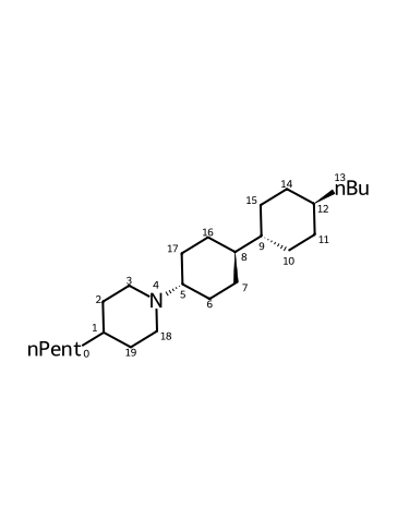 CCCCCC1CCN([C@H]2CC[C@H]([C@H]3CC[C@H](CCCC)CC3)CC2)CC1